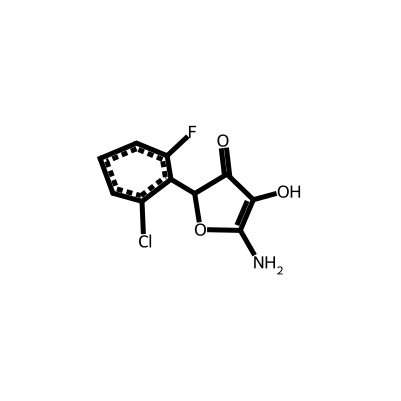 NC1=C(O)C(=O)C(c2c(F)cccc2Cl)O1